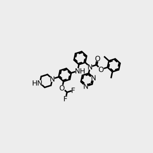 Cc1cccc(C)c1OC(=O)N(c1ccncn1)c1ccccc1Nc1ccc(N2CCNCC2)c(OC(F)F)c1